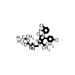 CC(C)c1c2c(nn1Cc1nnn(C(=O)OC(C)(C)C)n1)C(=O)N(c1cccc(Cl)c1F)C2c1ccc(Cl)cc1